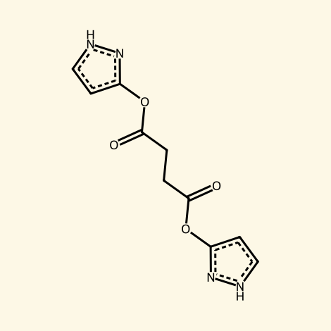 O=C(CCC(=O)Oc1cc[nH]n1)Oc1cc[nH]n1